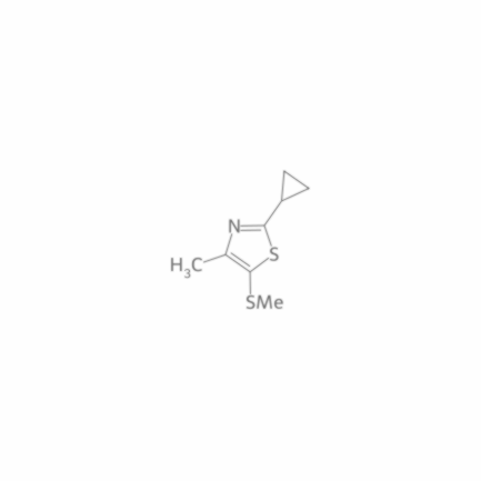 CSc1sc(C2CC2)nc1C